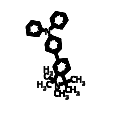 CN1C(C)(C)c2ccc(-c3ccc(N(c4ccccc4)c4ccccc4)cc3)cc2C1(C)C